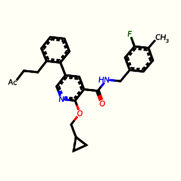 CC(=O)CCc1ccccc1-c1cnc(OCC2CC2)c(C(=O)NCc2ccc(C)c(F)c2)c1